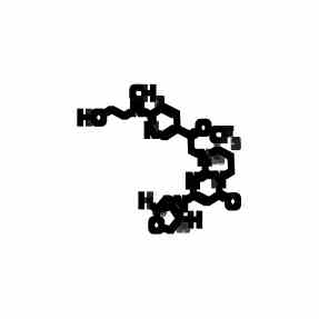 CN(CCO)c1ccc(C(=O)CN2c3nc(N4C[C@@H]5C[C@H]4CO5)cc(=O)n3CC[C@H]2C(F)(F)F)cn1